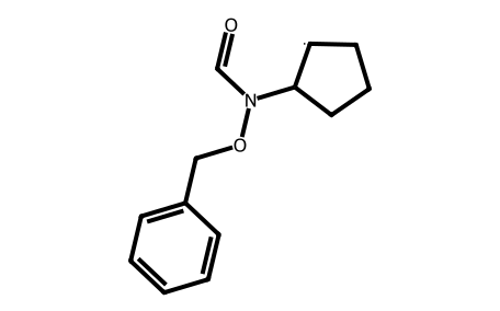 O=CN(OCc1ccccc1)C1[CH]CCC1